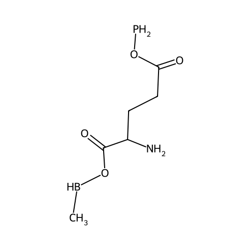 CBOC(=O)C(N)CCC(=O)OP